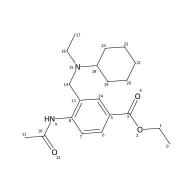 CCOC(=O)c1ccc(NC(C)=O)c(CN(CC)C2CCCCC2)c1